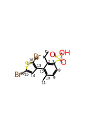 CCc1c(S(=O)(=O)O)ccc(C)c1-c1cc(Br)sc1Br